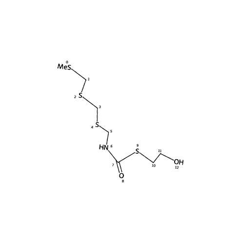 CSCSCSCNC(=O)SCCO